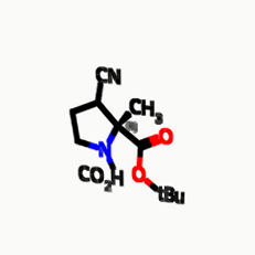 CC(C)(C)OC(=O)[C@@]1(C)C(C#N)CCN1C(=O)O